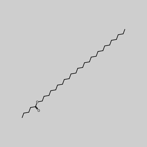 CCCCCCCCCCCCCCCCCCCCCCCCCCOC(=O)CCCC